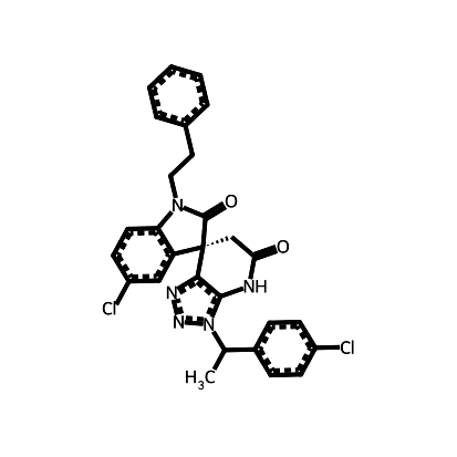 CC(c1ccc(Cl)cc1)n1nnc2c1NC(=O)C[C@]21C(=O)N(CCc2ccccc2)c2ccc(Cl)cc21